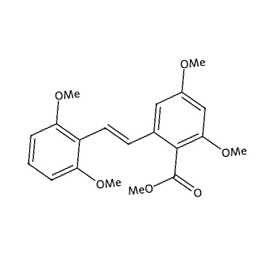 COC(=O)c1c(C=Cc2c(OC)cccc2OC)cc(OC)cc1OC